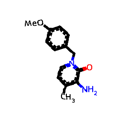 COc1ccc(Cn2ccc(C)c(N)c2=O)cc1